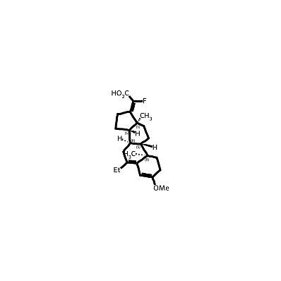 CCC1=C2C=C(OC)CC[C@]2(C)[C@H]2CC[C@]3(C)C(=C(F)C(=O)O)CC[C@H]3[C@@H]2C1